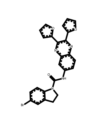 O=C(Nc1ccc2nc(-c3ccco3)c(-c3ccco3)nc2c1)N1CCc2cc(Br)ccc21